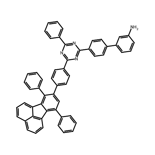 Nc1cccc(-c2ccc(-c3nc(-c4ccccc4)nc(-c4ccc(-c5cc(-c6ccccc6)c6c(c5-c5ccccc5)-c5cccc7cccc-6c57)cc4)n3)cc2)c1